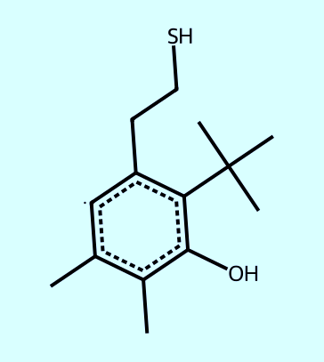 Cc1[c]c(CCS)c(C(C)(C)C)c(O)c1C